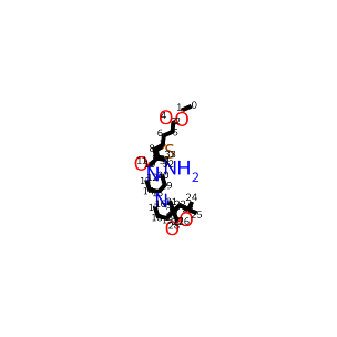 CCOC(=O)CCc1cc(C(=O)N2CCC(N3CCCC4(C3)CC(C)(C)OC4=O)CC2)c(N)s1